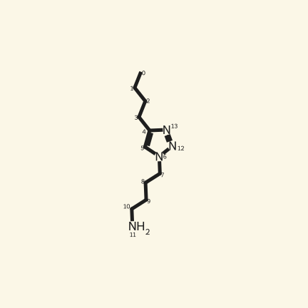 CCCCc1cn(CCCCN)nn1